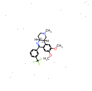 COc1cc2c(cc1OC)[C@H]1CN(C)CC[C@H]1N=C2c1cccc(C(F)(F)F)c1